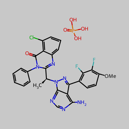 COc1ccc(-c2nn([C@@H](C)c3nc4cccc(Cl)c4c(=O)n3-c3ccccc3)c3ncnc(N)c23)c(F)c1F.O=P(O)(O)O